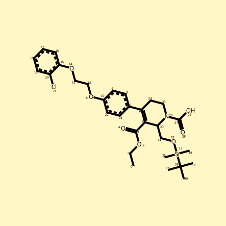 CCOC(=O)C1=C(c2ccc(OCCOc3ccccc3Cl)cc2)CCN(C(=O)O)C1CO[Si](C)(C)C(C)(C)C